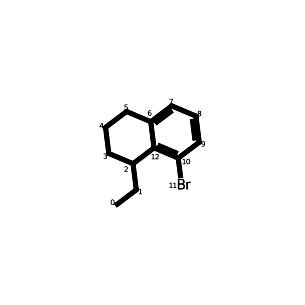 CCC1CCCc2cccc(Br)c21